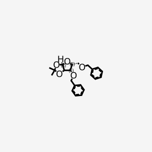 CC1(C)OC2[C@H](O[C@H](COCc3ccccc3)[C@@H]2OCc2ccccc2)O1